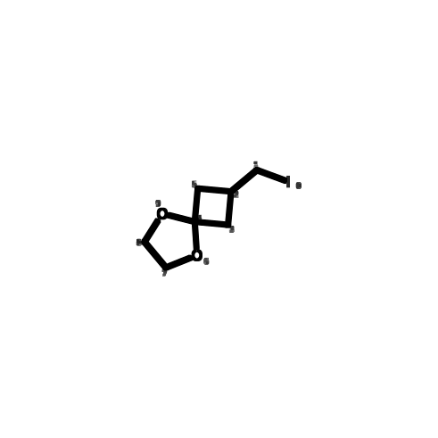 ICC1CC2(C1)OCCO2